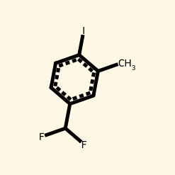 Cc1cc(C(F)F)ccc1I